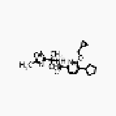 Cc1nc(C(C)(C)NC(=O)c2ccc(C3CCCC3)c(OCC3CC3)n2)no1